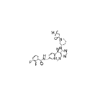 C=CC(=O)N1CCCC(n2nc(-c3ccc(CNC(=O)c4cccc(F)c4F)cc3)c3c(N)ncnc32)C1